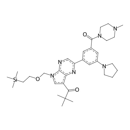 CN1CCN(C(=O)c2cc(-c3cnc4c(n3)c(C(=O)C(C)(C)C)cn4COCC[Si](C)(C)C)cc(N3CCCC3)c2)CC1